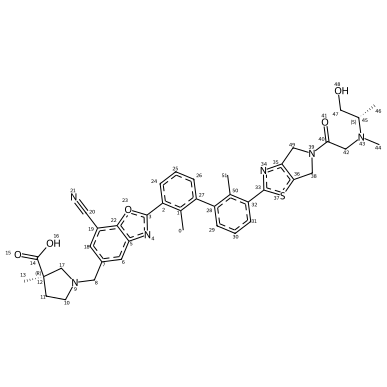 Cc1c(-c2nc3cc(CN4CC[C@@](C)(C(=O)O)C4)cc(C#N)c3o2)cccc1-c1cccc(-c2nc3c(s2)CN(C(=O)CN(C)[C@@H](C)CO)C3)c1C